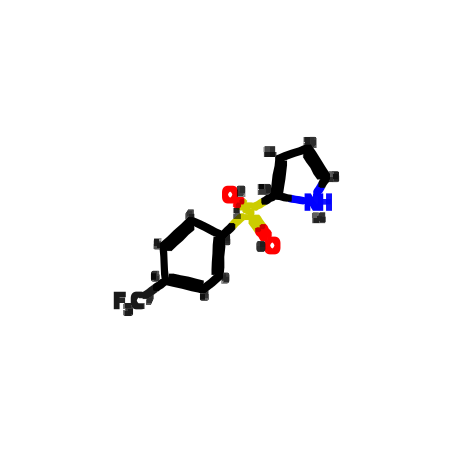 O=S(=O)(c1ccc(C(F)(F)F)cc1)c1ccc[nH]1